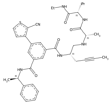 CC#CC[C@@H](CN[C@@H](C)C(=O)N[C@H](C(=O)NCC)C(C)C)NC(=O)c1cc(C(=O)N[C@H](C)c2ccccc2)cc(-c2ccsc2C#N)c1